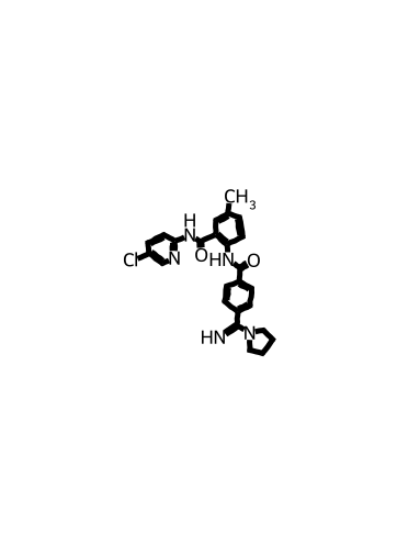 Cc1ccc(NC(=O)c2ccc(C(=N)N3CCCC3)cc2)c(C(=O)Nc2ccc(Cl)cn2)c1